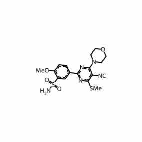 [C-]#[N+]c1c(SC)nc(-c2ccc(OC)c(S(N)(=O)=O)c2)nc1N1CCOCC1